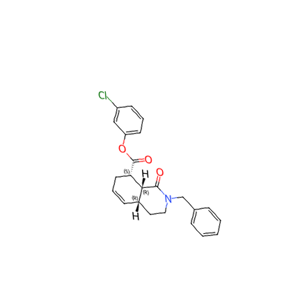 O=C(Oc1cccc(Cl)c1)[C@H]1CC=C[C@H]2CCN(Cc3ccccc3)C(=O)[C@@H]12